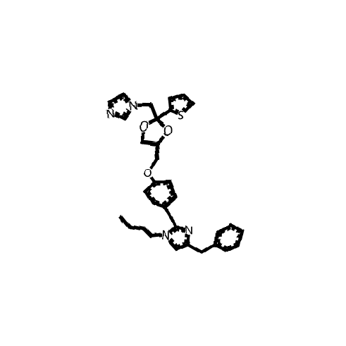 CCCCn1cc(Cc2ccccc2)nc1-c1ccc(OCC2COC(Cn3ccnc3)(c3cccs3)O2)cc1